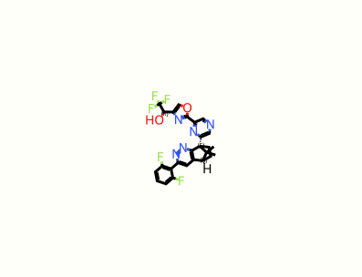 CC1(C)[C@H]2CC[C@]1(c1cncc(-c3nc([C@@H](O)C(F)(F)F)co3)n1)c1nnc(-c3c(F)cccc3F)cc12